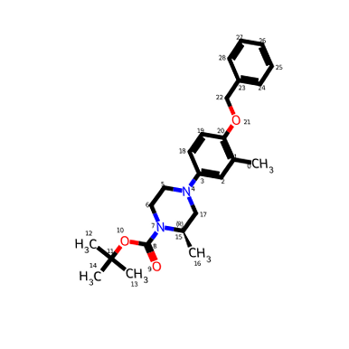 Cc1cc(N2CCN(C(=O)OC(C)(C)C)[C@H](C)C2)ccc1OCc1ccccc1